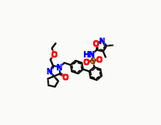 CCOCC1=NC2(CCCC2)C(=O)N1Cc1ccc(-c2ccccc2S(=O)(=O)Nc2onc(C)c2C)cc1